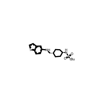 CC(C)(C)S(=O)(=O)N[C@H]1CC[C@H](CNc2ccc3sccc3c2)CC1